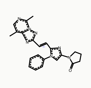 Cc1cnc(C)n2nc(/C=C/c3nc(N4CCCC4=O)cn3-c3ccccc3)nc12